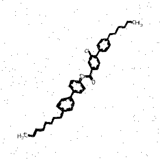 CCCCCCCCc1ccc(-c2ccc(OC(=O)c3ccc(-c4ccc(CCCCCC)cc4)c(Cl)c3)cc2)cc1